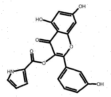 O=C(Oc1c(-c2cccc(O)c2)oc2cc(O)cc(O)c2c1=O)c1ccc[nH]1